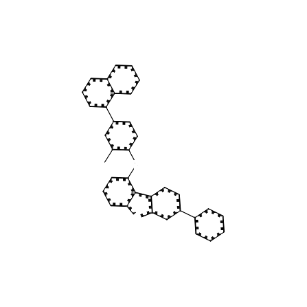 Cc1cc(-c2cccc3ccccc23)ccc1Nc1cccc2oc3cc(-c4ccccc4)ccc3c12